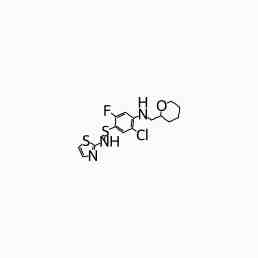 Fc1cc(NCC2CCCCO2)c(Cl)cc1SNc1nccs1